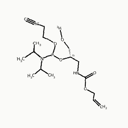 [2H]OC[C@H](CNC(=O)OCC=C)OP(OCC[N+]#[C-])N(C(C)C)C(C)C